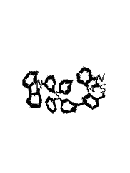 c1ccc(S(c2ccccc2)(c2cccc(-c3ccc4c(c3)-n3c(nc5ccccc53)SC4)c2)c2cccc(-n3c4ccccc4c4ccccc43)c2)cc1